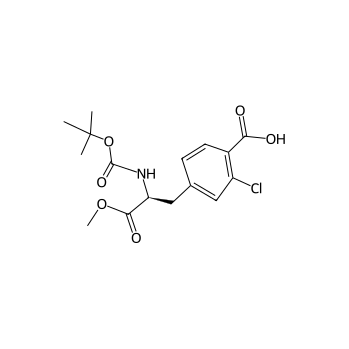 COC(=O)[C@H](Cc1ccc(C(=O)O)c(Cl)c1)NC(=O)OC(C)(C)C